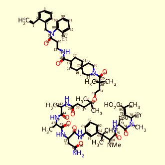 C=Cc1ccccc1CN(C(=O)CCNC(=O)C1CCC2(CC1)CCN(C(=O)C(C)(C)CCOC(C)(C)CCC(=O)NC(C)C(=O)NC(C)C(=O)NC(CC(N)=O)C(=O)Nc1cccc(C(C)(C)C(NC)C(=O)NC(C(=O)N(C)C(/C=C(\C)C(=O)O)C(C)C)C(C)(C)C)c1)CC2)c1ccccc1CC